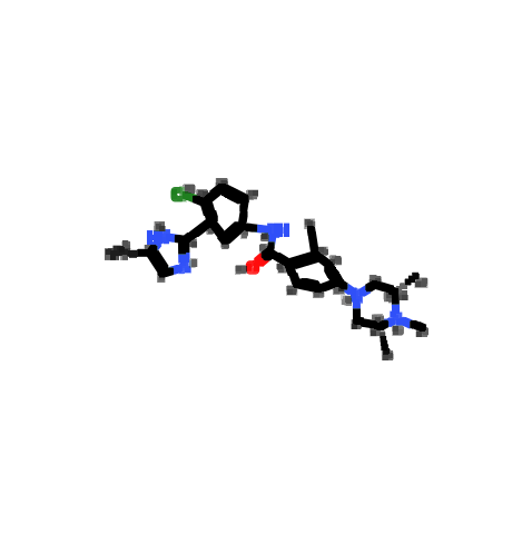 CCCc1cnc(-c2cc(NC(=O)c3ccc(N4C[C@@H](C)N(C)[C@@H](C)C4)cc3C)ccc2Cl)[nH]1